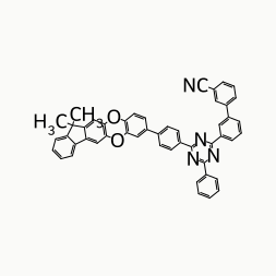 CC1(C)c2ccccc2-c2cc3c(cc21)Oc1ccc(-c2ccc(-c4nc(-c5ccccc5)nc(-c5cccc(-c6cccc(C#N)c6)c5)n4)cc2)cc1O3